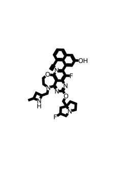 C#Cc1cccc2cc(O)cc(-c3nc4c5c(nc(OCC67CCCN6CC(F)C7)nc5c3F)N(CC3CC(C)N3)CCO4)c12